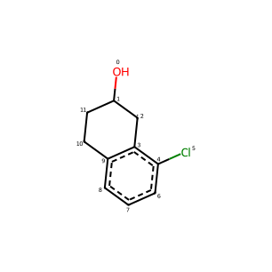 OC1[CH]c2c(Cl)cccc2CC1